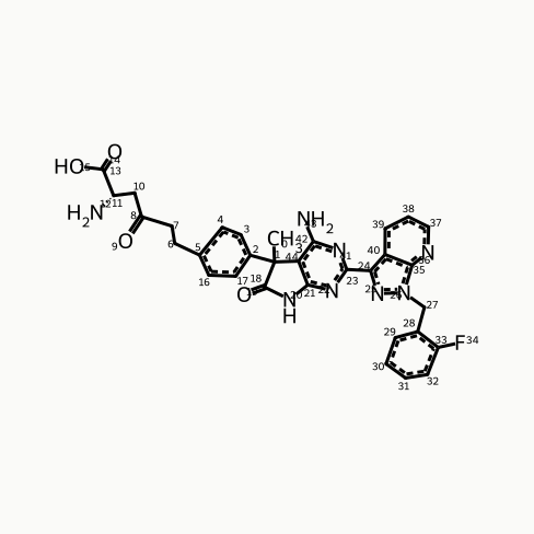 CC1(c2ccc(CCC(=O)C[C@H](N)C(=O)O)cc2)C(=O)Nc2nc(-c3nn(Cc4ccccc4F)c4ncccc34)nc(N)c21